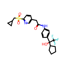 O=C(Cc1ccc(S(=O)(=O)CC2CC2)nc1)Nc1ccc(C(O)(C2CCCC2)C(F)(F)F)cc1